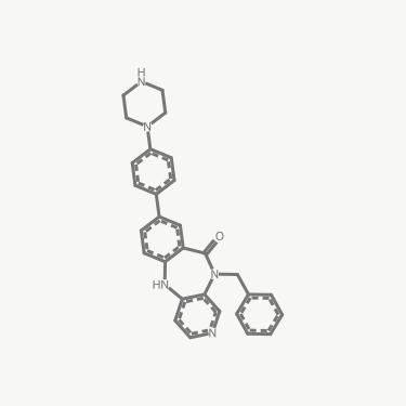 O=C1c2cc(-c3ccc(N4CCNCC4)cc3)ccc2Nc2ccncc2N1Cc1ccccc1